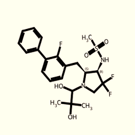 CC(C)(O)C(O)N1CC(F)(F)[C@H](NS(C)(=O)=O)[C@@H]1Cc1cccc(-c2ccccc2)c1F